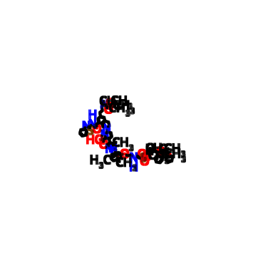 Cc1c(-c2ccc(N3CCc4cc(CCCN(C)C(=O)OC(C)(C)C)cc(C(=O)Nc5nc6ccccc6s5)c4C3)nc2C(=O)O)cnn1CC12CC3(C)CC(C)(C1)CC(OCCNCCS(=O)(=O)OCC(C)(C)CCO[Si](c1ccccc1)(c1ccccc1)C(C)(C)C)(C3)C2